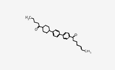 CCCCCCC(=O)c1ccc(-c2ccc(C3CCC(C(=O)CCCC)CC3)cc2)cc1